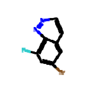 Fc1cc(Br)cc2ccnnc12